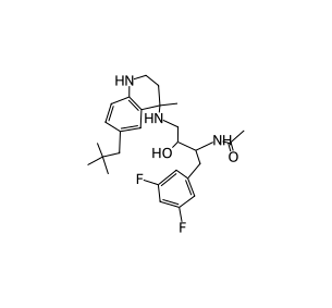 CC(=O)NC(Cc1cc(F)cc(F)c1)C(O)CNC1(C)CCNc2ccc(CC(C)(C)C)cc21